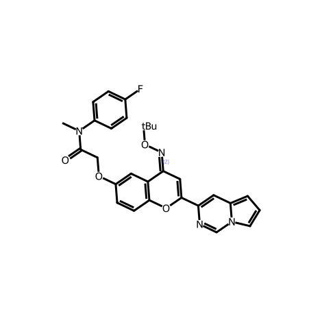 CN(C(=O)COc1ccc2oc(-c3cc4cccn4cn3)c/c(=N/OC(C)(C)C)c2c1)c1ccc(F)cc1